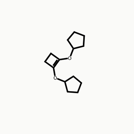 C1CCC(OC2=C(OC3CCCC3)CC2)C1